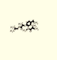 C=C(C)C(=O)OC.C=C(C)C(=O)OCC(C)C.C=Cc1ccccc1